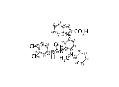 CN(c1ccc(-n2c(C(=O)O)cc3ccccc32)cc1NC(=O)Nc1ccc(Cl)c(Cl)c1)C1CCCCC1